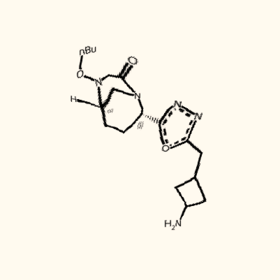 CCCCON1C(=O)N2C[C@@H]1CC[C@H]2c1nnc(CC2CC(N)C2)o1